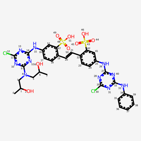 CC(O)CN(CC(C)O)c1nc(Cl)nc(Nc2ccc(/C=C/c3ccc(Nc4nc(Cl)nc(Nc5ccccc5)n4)cc3S(=O)(=O)O)c(S(=O)(=O)O)c2)n1